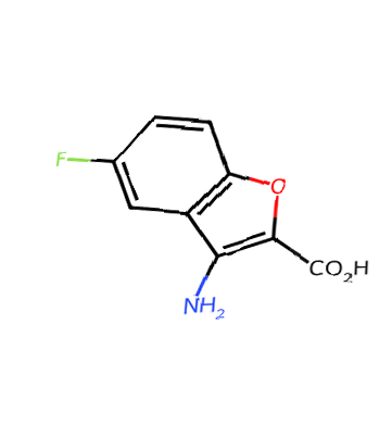 Nc1c(C(=O)O)oc2ccc(F)cc12